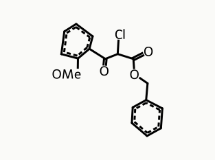 COc1ccccc1C(=O)C(Cl)C(=O)OCc1ccccc1